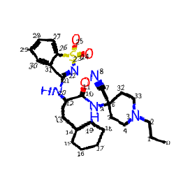 CCCN1CCC(C#N)(NC(=O)C(CC2CCCCC2)NC2=NS(=O)(=O)c3ccccc32)CC1